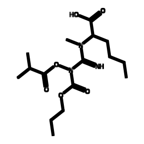 CCCCC(C(=O)O)N(C)C(=N)N(OC(=O)C(C)C)C(=O)OCCC